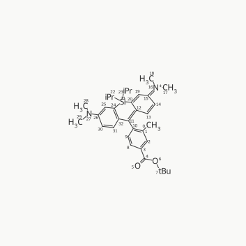 Cc1cc(C(=O)OC(C)(C)C)ccc1C1=C2C=CC(=[N+](C)C)C=C2[Si](C(C)C)(C(C)C)c2cc(N(C)C)ccc21